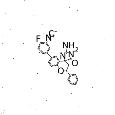 [C-]#[N+]c1cc(-c2ccc3c(c2)C2(CC(c4ccccc4)O3)N=C(N)N(C)C2=O)ccc1F